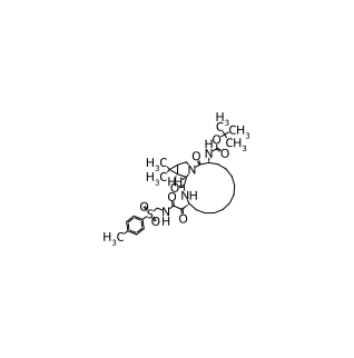 Cc1ccc(S(=O)(=O)CNC(=O)C(=O)[C@@H]2CCCCCCCCCC[C@H](NC(=O)OC(C)(C)C)C(=O)N3CC4[C@@H]([C@H]3C(=O)N2)C4(C)C)cc1